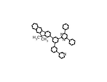 CC1(C)c2cc(-c3cc(-c4cccc(-c5cccnc5)c4)cc(-c4nc(-c5ccccc5)cc(-c5ccccc5)n4)c3)ccc2-c2cc3ccccc3cc21